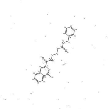 C[n+]1cc(C(=O)NCCCC(=O)OCc2ccccc2)cc2ccccc21.[I-]